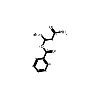 CCCCCCCCCC(CC(N)=O)OC(=O)c1ccccc1